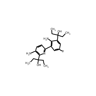 CCC(O)(CC)c1cc(F)cc(-c2ccc(N)c(C(O)(CC)CC)n2)c1N